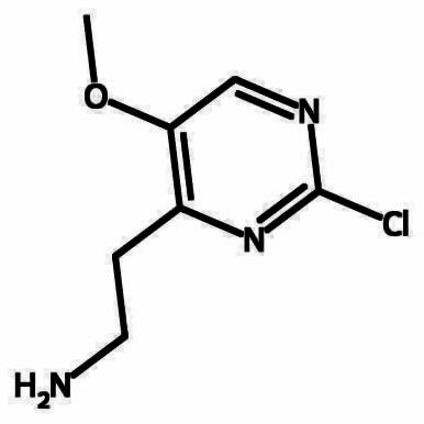 COc1cnc(Cl)nc1CCN